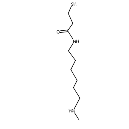 CNCCCCCCNC(=O)CCS